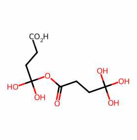 O=C(O)CCC(O)(O)OC(=O)CCC(O)(O)O